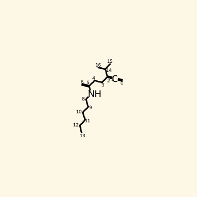 C=C=C(CCC(=C)NCCCCCC)C(C)C